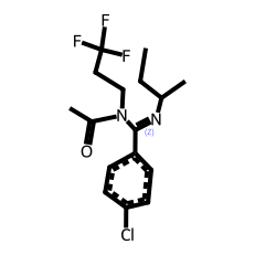 CCC(C)/N=C(/c1ccc(Cl)cc1)N(CCC(F)(F)F)C(C)=O